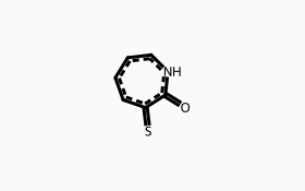 O=c1[nH]ccccc1=S